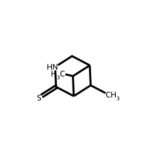 CC1C2CNC(=S)C1C2C